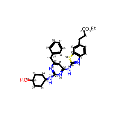 CCOC(=O)CCc1ccc2nc(Nc3cc(Cc4ccccc4)nc(NC4CCC(O)CC4)n3)sc2c1